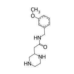 COc1cccc(CNC(=O)CC2CNCCN2)c1